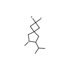 CC(C)C1CC2(CN1C)CC(F)(F)C2